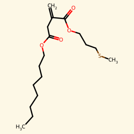 C=C(CC(=O)OCCCCCCCC)C(=O)OCCCSC